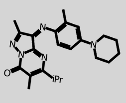 CC1=Nn2c(nc(C(C)C)c(C)c2=O)C1=Nc1ccc(N2CCCCC2)cc1C